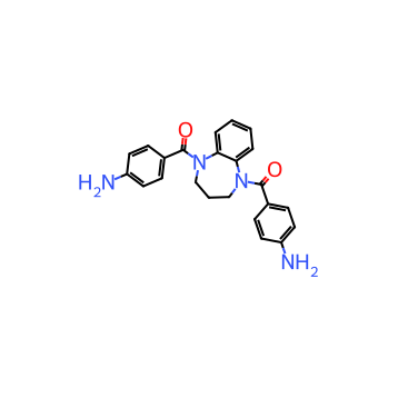 Nc1ccc(C(=O)N2CCCN(C(=O)c3ccc(N)cc3)c3ccccc32)cc1